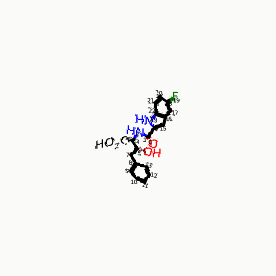 O=C(N[C@@H](C(=O)O)[C@H](O)Cc1ccccc1)c1cc2cc(F)ccc2[nH]1